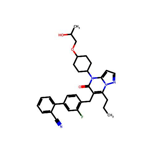 CCCc1c(Cc2ccc(-c3ccccc3C#N)cc2F)c(=O)n(C2CCC(OCC(C)O)CC2)c2ccnn12